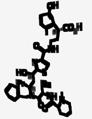 CCC(C)C(NC(=O)C1CCCCN1C)C(=O)N(Cc1ccccc1)[C@H](C[C@@H](O)c1nc(C(=O)NCC[C@@H](C(=O)O)c2cc(O)ccc2C)cs1)C(C)C